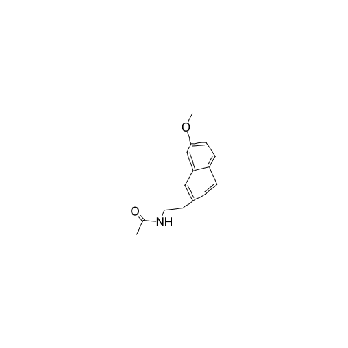 COc1ccc2ccc(CCNC(C)=O)cc2c1